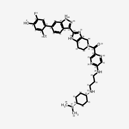 CCc1cc(O)c(F)cc1-c1ccc2c(-c3nc4c([nH]3)CCN(C(=O)c3cnc(NCCCN[C@H]5CC[C@@H](N(C)C)CC5)cn3)C4)n[nH]c2c1